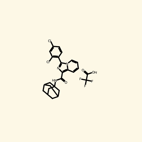 O=C(NC12CC3CC(CC(C3)C1)C2)c1nc(-c2ccc(Cl)cc2Cl)n2ccccc12.O=C(O)C(F)(F)F